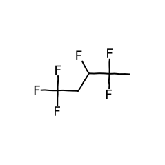 CC(F)(F)C(F)CC(F)(F)F